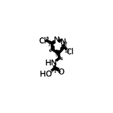 O=C(O)NCc1cc(Cl)nnc1Cl